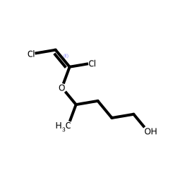 CC(CCCO)O/C(Cl)=C\Cl